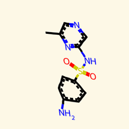 Cc1cncc(NS(=O)(=O)c2ccc(N)cc2)n1